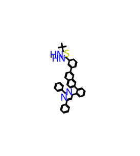 CC(C)(C)C1NNC(C2C=C(c3ccc4ccc(-c5ccccc5-c5cc(-c6ccccc6)nc(-c6ccccc6)n5)cc4c3)C=CC2)S1